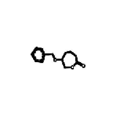 O=C1CCCC(OCc2ccccc2)CO1